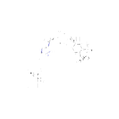 CCCN(CCC(C)CCC1=C(/C)CC/C(O[C@H]2CC[C@H](Nc3ccc([N+](=O)[O-])c(C(F)(F)F)c3)CC2)=C/C=C\1)C(=S)NC